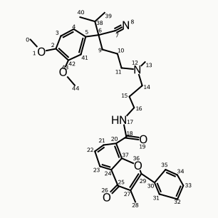 COc1ccc(C(C#N)(CCCN(C)CCCNC(=O)c2cccc3c(=O)c(C)c(-c4ccccc4)oc23)C(C)C)cc1OC